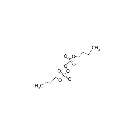 CCCCOS(=O)(=O)OOS(=O)(=O)OCCCC